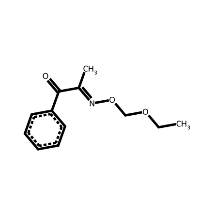 CCOCON=C(C)C(=O)c1ccccc1